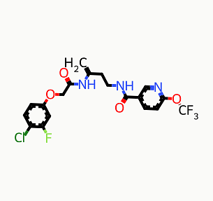 C=C(CCNC(=O)c1ccc(OC(F)(F)F)nc1)NC(=O)COc1ccc(Cl)c(F)c1